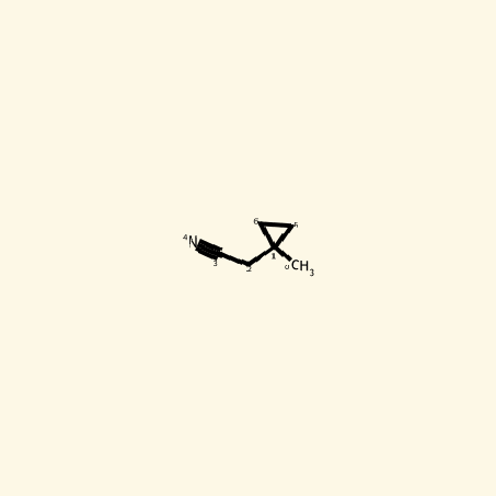 CC1(CC#N)CC1